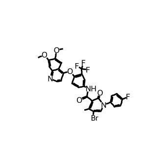 COc1cc2nccc(Oc3ccc(NC(=O)c4c(C)c(Br)cn(-c5ccc(F)cc5)c4=O)cc3C(F)(F)F)c2cc1OC